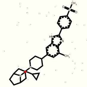 Cc1cc(C2CCN(C3CC4CCC(C3)N4CC3CC3)CC2)cc2[nH]c(-c3ccc(S(C)(=O)=O)cc3)nc12